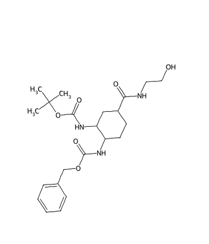 CC(C)(C)OC(=O)NC1CC(C(=O)NCCO)CCC1NC(=O)OCc1ccccc1